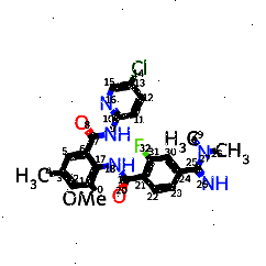 COc1cc(C)cc(C(=O)Nc2ccc(Cl)cn2)c1NC(=O)c1ccc(C(=N)N(C)C)cc1F